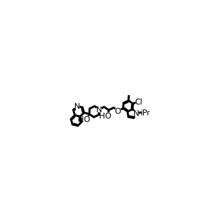 Cc1cc(OCC(O)CN2CCC(O)(c3cncc4ccccc34)CC2)c2ccn(C(C)C)c2c1Cl